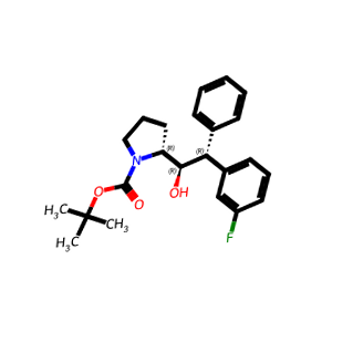 CC(C)(C)OC(=O)N1CCC[C@@H]1[C@H](O)[C@H](c1ccccc1)c1cccc(F)c1